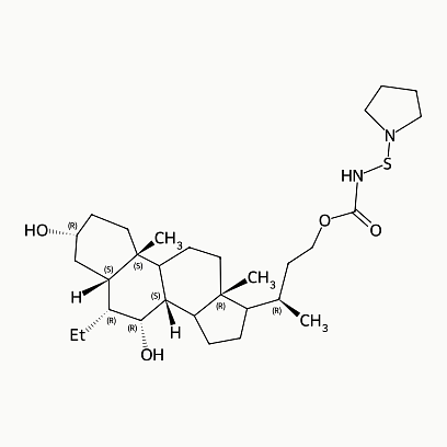 CC[C@H]1[C@@H](O)[C@H]2C3CCC([C@H](C)CCOC(=O)NSN4CCCC4)[C@@]3(C)CCC2[C@@]2(C)CC[C@@H](O)C[C@@H]12